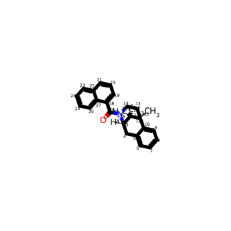 CC1(C)[C@H]2Cc3ccccc3[C@]1(C)CCN2C(=O)c1cccc2ccccc12